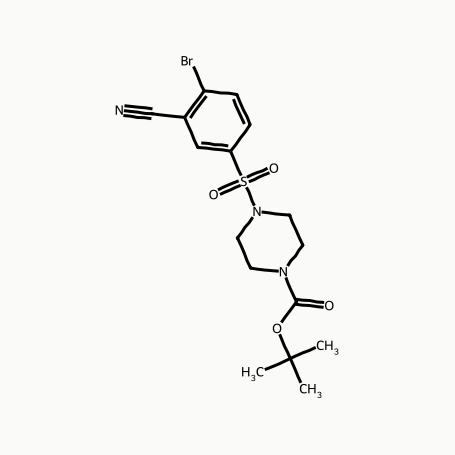 CC(C)(C)OC(=O)N1CCN(S(=O)(=O)c2ccc(Br)c(C#N)c2)CC1